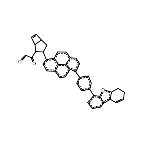 O=CC(=O)C1C(c2ccc3ccc4c(-c5ccc(-c6cccc7c8c(oc67)CCC=C8)cc5)ccc5ccc2c3c54)CC2C=CC21